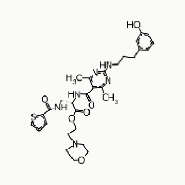 Cc1nc(NCCCc2cccc(O)c2)nc(C)c1C(=O)N[C@@H](CNC(=O)c1cccs1)C(=O)OCCN1CCOCC1